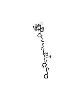 NC(=O)Nc1c([C@@H]2CCCN(CCOCCOCCNCC(O)COc3cccc(OCCc4ccccc4)c3)C2)csc1C(N)=O